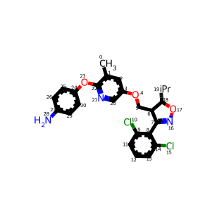 Cc1cc(OCC2C(c3c(Cl)cccc3Cl)=NOC2C(C)C)cnc1Oc1ccc(N)cc1